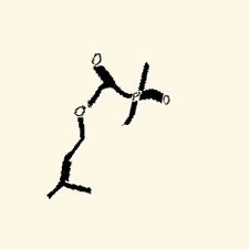 CC(C)=CCOC(=O)P(C)(C)=O